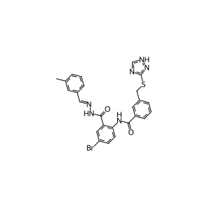 Cc1cccc(/C=N/NC(=O)c2cc(Br)ccc2NC(=O)c2cccc(CSc3nc[nH]n3)c2)c1